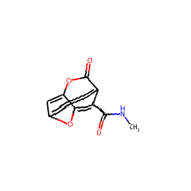 CNC(=O)c1c2oc3cc2oc(=O)c13